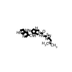 CN(C)Cc1nsc(NC(=O)N2C[C@H]3C[C@H](Nc4c(C#N)cnc5[nH]ccc45)C[C@H]3C2)n1